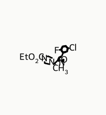 CCOC(=O)N1CCN(C(C)c2cc(-c3cc(Cl)ccc3F)on2)CC1